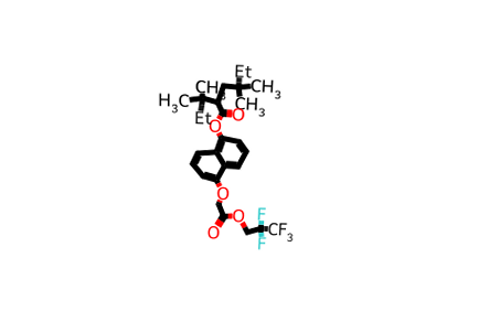 CCC(C)(C)CC(C(=O)Oc1cccc2c(OCC(=O)OCC(F)(F)C(F)(F)F)cccc12)C(C)(C)CC